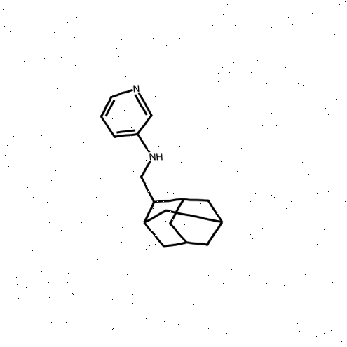 c1cncc(NCC2C3CC4CC(C3)CC2C4)c1